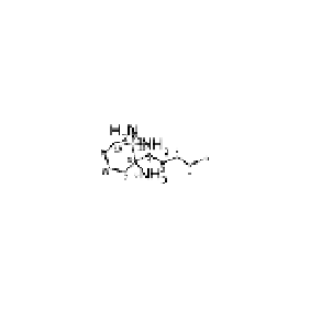 CCCCCC1(N)CCCCC1(N)N